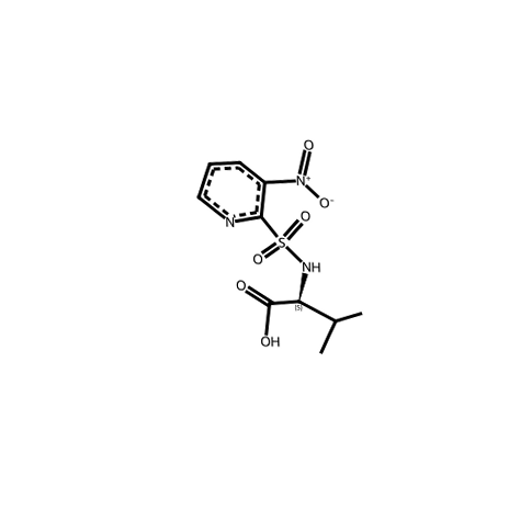 CC(C)[C@H](NS(=O)(=O)c1ncccc1[N+](=O)[O-])C(=O)O